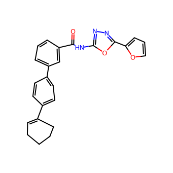 O=C(Nc1nnc(-c2ccco2)o1)c1cccc(-c2ccc(C3=CCCCC3)cc2)c1